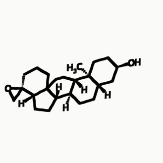 C[C@]12CC[C@@H](O)C[C@@H]1CC[C@H]1[C@@H]3CC[C@H]4C3(CCC[C@@]43CO3)CC[C@@H]12